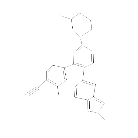 Cn1cc2cc(-c3cnc(N4CCCC(N)C4)nc3-c3ccc(C#N)c(F)c3)ccc2n1